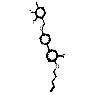 C=CCCCOc1ccc(-c2ccc(OCc3ccc(C)c(F)c3F)cc2)cc1F